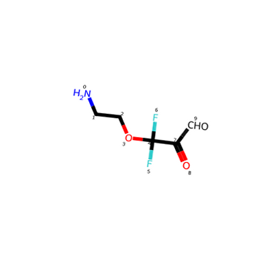 NCCOC(F)(F)C(=O)C=O